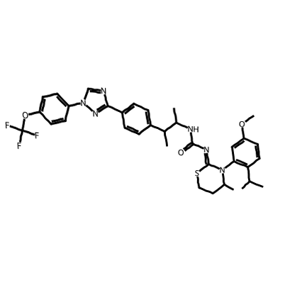 COc1ccc(C(C)C)c(N2/C(=N/C(=O)NC(C)C(C)c3ccc(-c4ncn(-c5ccc(OC(F)(F)F)cc5)n4)cc3)SCCC2C)c1